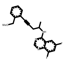 COCc1ccccc1C#CCC(C)Nc1ncnc2c(F)cc(F)cc12